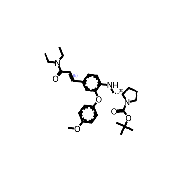 CCN(CC)C(=O)/C=C/c1ccc(NC[C@@H]2CCCN2C(=O)OC(C)(C)C)c(Oc2ccc(OC)cc2)c1